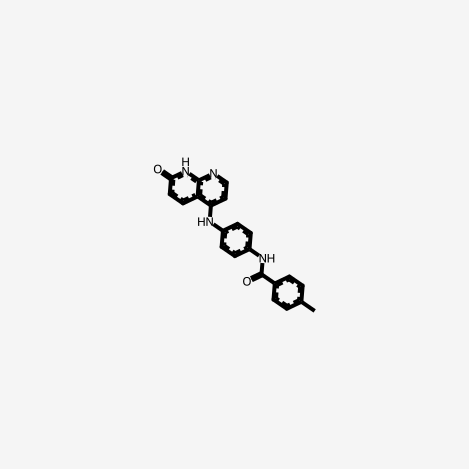 Cc1ccc(C(=O)Nc2ccc(Nc3ccnc4[nH]c(=O)ccc34)cc2)cc1